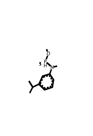 CO[PH](=S)N(C)c1cccc(C(C)C)c1